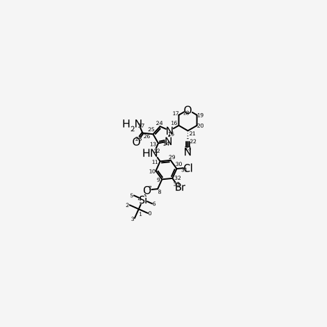 CC(C)(C)[Si](C)(C)OCc1cc(Nc2nn(C3COCC[C@@H]3C#N)cc2C(N)=O)cc(Cl)c1Br